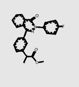 COC(=O)C(C)c1cccc(-c2nn(-c3ccc(F)cc3)c(=O)c3ccccc23)c1